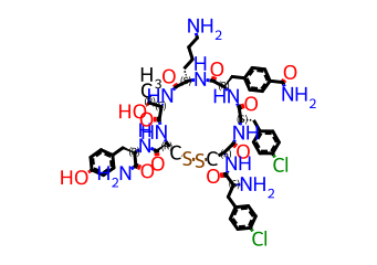 C[C@@H](O)[C@@H]1NC(=O)[C@H](CCCCN)NC(=O)[C@@H](Cc2ccc(C(N)=O)cc2)NC(=O)[C@H](Cc2ccc(Cl)cc2)NC(=O)[C@H](NC(=O)[C@@H](N)Cc2ccc(Cl)cc2)CSSC[C@@H](C(=O)N[C@H](Cc2ccc(O)cc2)C(N)=O)NC1=O